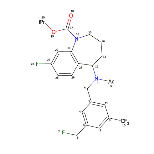 CC(=O)N(Cc1cc(CF)cc(C(F)(F)F)c1)C1CCCN(C(=O)OC(C)C)c2cc(F)ccc21